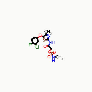 CNS(=O)(=O)OCC(=O)Nc1nc(C)c(Oc2ccc(F)c(Cl)c2)s1